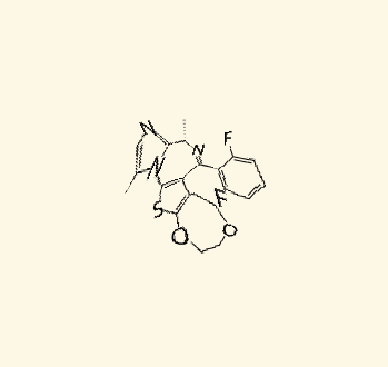 Cc1cnc2n1-c1sc3c(c1C(c1c(F)cccc1F)=N[C@H]2C)COCCO3